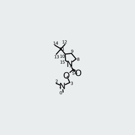 CN(C)COC(=O)N1CCC(C(C)(C)C)C1